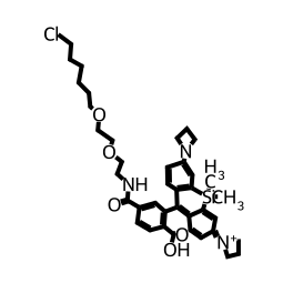 C[Si]1(C)C2=CC(=[N+]3CCC3)C=CC2=C(c2cc(C(=O)NCCOCCOCCCCCCCl)ccc2C(=O)O)c2ccc(N3CCC3)cc21